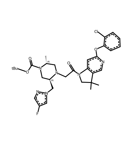 C[C@@H]1CN(CC(=O)N2CC(C)(C)c3cnc(Oc4ccccc4Cl)cc32)[C@@H](Cn2cc(F)cn2)CN1C(=O)OC(C)(C)C